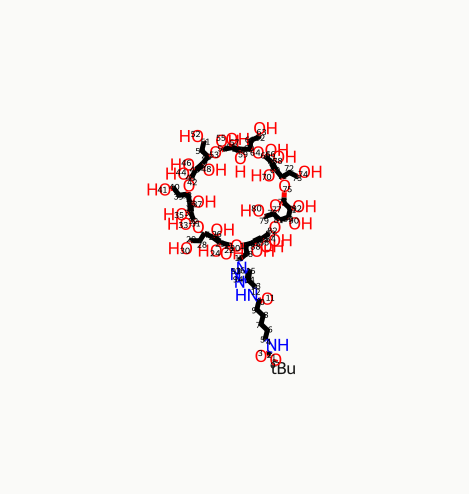 CC(C)(C)OC(=O)NCCCCCC(=O)NCc1cn(CCC2OC(O)/C(O)=C(\O)C(CCO)OC(O)/C(O)=C(\O)C(CCO)OC(O)/C(O)=C(\O)C(CCO)OC(O)/C(O)=C(\O)C(CCO)OC(O)/C(O)=C(\O)C(CCO)OC3OC(CO)C(OC(O)/C(O)=C\2O)C(O)C3O)nn1